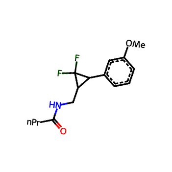 CCCC(=O)NCC1C(c2cccc(OC)c2)C1(F)F